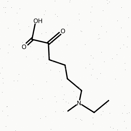 CCN(C)CCCCC(=O)C(=O)O